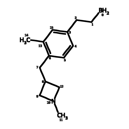 BCCc1ccc(CC2CN(C)C2)c(C)c1